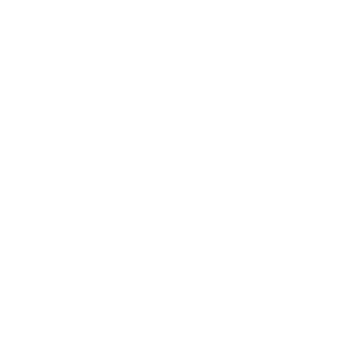 OC(O)=CCCCC1CCSS1